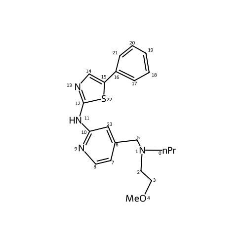 CCCN(CCOC)Cc1ccnc(Nc2ncc(-c3ccccc3)s2)c1